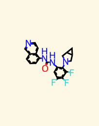 O=C(Nc1cc(F)c(F)c(F)c1N1CC2CC2C1)Nc1cccc2cnccc12